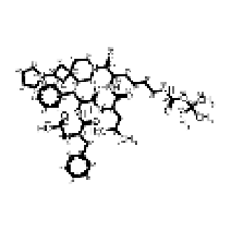 CC(C)CC(NC(=O)C(Cc1ccccc1)NC(=O)C(Cc1ccccc1)NC(=O)O)C(=O)NC(CCCCNC(=O)OC(C)(C)C)C(=O)N1CCC2(CC1)CC(N1CCCC1)C2